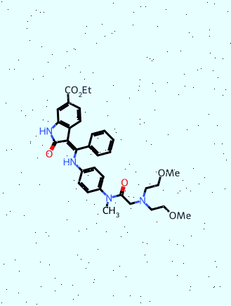 CCOC(=O)c1ccc2c(c1)NC(=O)/C2=C(\Nc1ccc(N(C)C(=O)CN(CCOC)CCOC)cc1)c1ccccc1